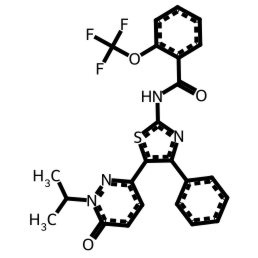 CC(C)n1nc(-c2sc(NC(=O)c3ccccc3OC(F)(F)F)nc2-c2ccccc2)ccc1=O